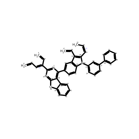 C=C/C=C(\C=C)c1nc(-c2ccc3c(c2)c(C=C)c(/C=C\C)n3-c2cccc(-c3ccccc3)c2)c2c(n1)oc1ccccc12